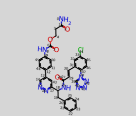 NC(=O)CCOC(=O)Nc1ccc(-c2cnnc(C(Cc3ccccc3)NC(=O)/C=C/c3cc(Cl)ccc3-n3cnnn3)c2)cc1